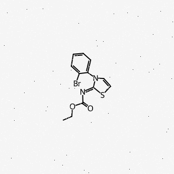 CCOC(=O)/N=c1\sccn1-c1ccccc1Br